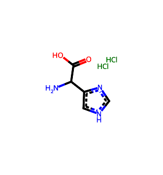 Cl.Cl.NC(C(=O)O)c1c[nH]cn1